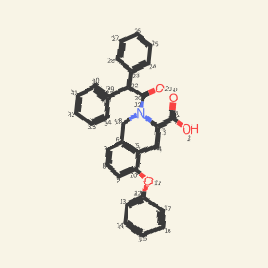 O=C(O)C1Cc2c(cccc2Oc2ccccc2)CN1C(=O)C(c1ccccc1)c1ccccc1